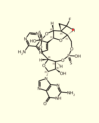 Nc1nc2c(ncn2[C@@H]2O[C@@H]3COP(O)(=S)O[C@H]4[C@H](c5cnc6c(N)ncnn56)O[C@H](COP(O)(=S)O[C@H]3[C@H]2O)[C@]42CC2(F)F)c(=O)[nH]1